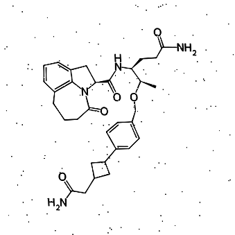 C[C@@H](OCc1ccc(C2CC(CC(N)=O)C2)cc1)[C@H](CCC(N)=O)NC(=O)[C@@H]1Cc2cccc3c2N1C(=O)CCC3